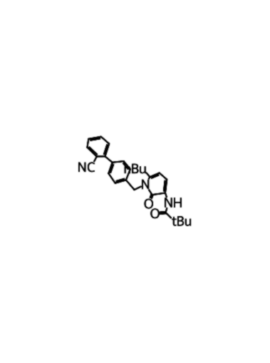 CCCCc1ccc(NC(=O)C(C)(C)C)c(=O)n1Cc1ccc(-c2ccccc2C#N)cc1